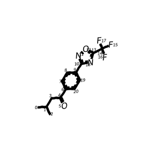 CC(C)CC(=O)c1ccc(-c2noc(C(F)(F)F)n2)cc1